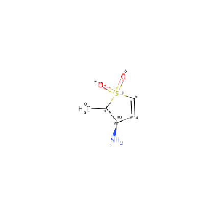 CC1[C@H](N)C=CS1(=O)=O